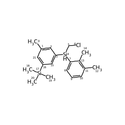 Cc1cc([SiH](CCl)c2cccc(C)c2C)cc([Si](C)(C)C)c1